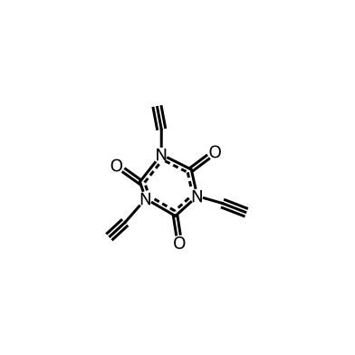 C#Cn1c(=O)n(C#C)c(=O)n(C#C)c1=O